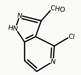 O=Cc1n[nH]c2ccnc(Cl)c12